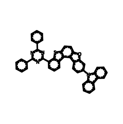 c1ccc(-c2nc(-c3ccccc3)nc(-c3cccc4c3sc3ccc5oc6cc(-n7c8ccccc8c8ccccc87)ccc6c5c34)n2)cc1